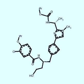 CC(C)OC(=O)N[C@H](C)c1nc(-c2ccc(C[C@@H](CCO)NC(=O)c3ccc(OC(C)C)c(Cl)c3)cc2)cn1C